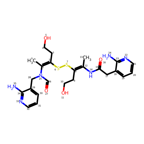 C/C(=C(\CCO)SS/C(CCO)=C(\C)NC(=O)Cc1cccnc1N)N(C=O)Cc1cccnc1N